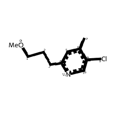 COCCCc1cc(C)c(Cl)cn1